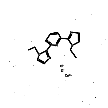 CCn1ccnc1-c1cccc(-c2nccn2CC)n1.[Cl-].[Cl-].[Co+2]